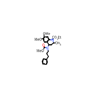 CCOC(=O)N1c2cc(OC)c(OC)cc2C(N(CCCc2ccccc2)C(=O)OC)CC1C